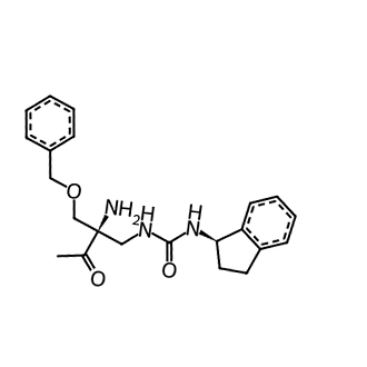 CC(=O)[C@@](N)(CNC(=O)N[C@@H]1CCc2ccccc21)COCc1ccccc1